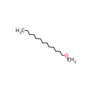 CCCCCCCCCCCCCOC